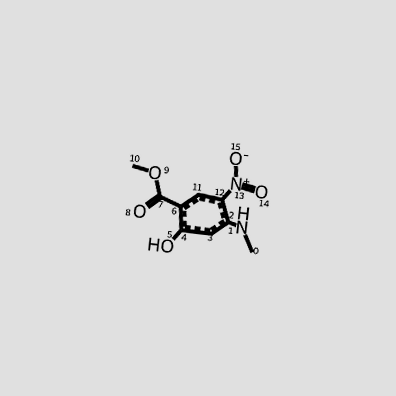 CNc1cc(O)c(C(=O)OC)cc1[N+](=O)[O-]